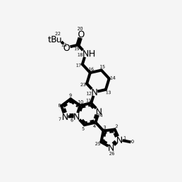 Cn1cc(-c2cn3nccc3c(N3CCCC(CNC(=O)OC(C)(C)C)C3)n2)cn1